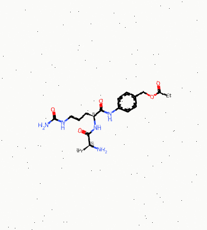 CCC(=O)OCc1ccc(NC(=O)[C@H](CCCNC(N)=O)NC(=O)[C@@H](N)C(C)C)cc1